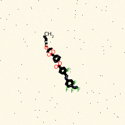 C=CCCCOC1COC(c2ccc(OC(=O)c3ccc(/C=C/c4cc(F)c(/C(F)=C/F)c(F)c4)c(F)c3)cc2)OC1